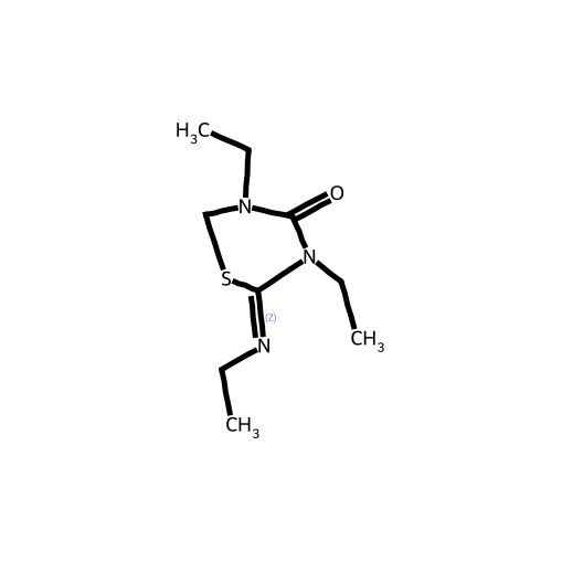 CC/N=C1\SCN(CC)C(=O)N1CC